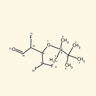 CC(C)(C)[Si](C)(C)OC(C(F)F)C(F)C=O